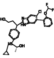 C[C@@H](O)[SH](CC1CC1)c1ccc(C(CCO)c2nc3cc(Cl)c(-c4ccccc4OC(F)F)cc3[nH]2)cc1